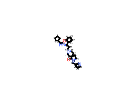 O=C(CC1CCCC1)NC(CCN1CCC2(CC1)CCN(Cc1cccnc1)C2=O)c1ccccc1